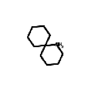 C1CCC2(CC1)CCCC[SiH2]2